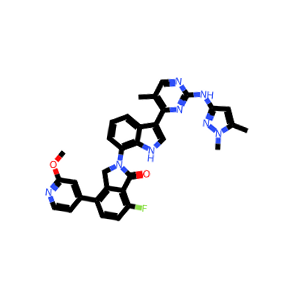 COc1cc(-c2ccc(F)c3c2CN(c2cccc4c(-c5nc(Nc6cc(C)n(C)n6)ncc5C)c[nH]c24)C3=O)ccn1